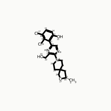 C[C@H]1CC2(CCN(c3ncc(-c4c(O)ccc(Cl)c4Cl)nc3CO)CC2)CO1